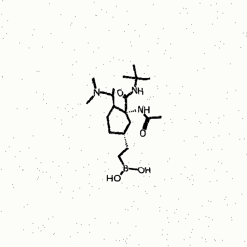 CC(=O)N[C@]1(C(=O)NC(C)(C)C)C[C@H](CCB(O)O)CC[C@H]1C(C)N(C)C